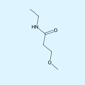 CCNC(=O)CCOC